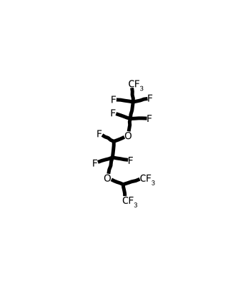 FC(OC(F)(F)C(F)(F)C(F)(F)F)C(F)(F)OC(C(F)(F)F)C(F)(F)F